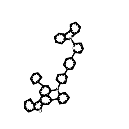 c1ccc(-c2cccc(N(c3ccc(-c4ccc(-c5cccc(-n6c7ccccc7c7ccccc76)c5)cc4)cc3)c3ccccc3-c3ccc4c(c3)oc3ccccc34)c2)cc1